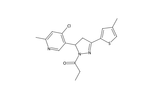 CCC(=O)N1N=C(c2cc(C)cs2)CC1c1cnc(C)cc1Cl